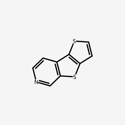 c1cc2c(cn1)sc1ccsc12